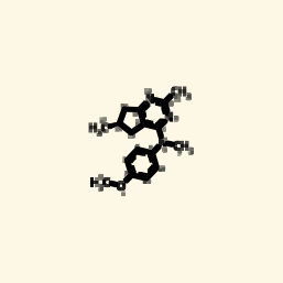 COc1ccc(N(C)c2nc(C)nc3c2C[C@@H](C)C3)cc1